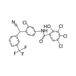 N#CC(c1cccc(C(F)(F)F)c1)c1ccc(NC(=O)c2cc(Cl)c(Cl)c(Cl)c2O)cc1Cl